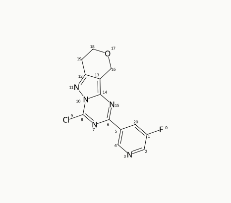 Fc1cncc(-c2nc(Cl)n3nc4c(c3n2)COCC4)c1